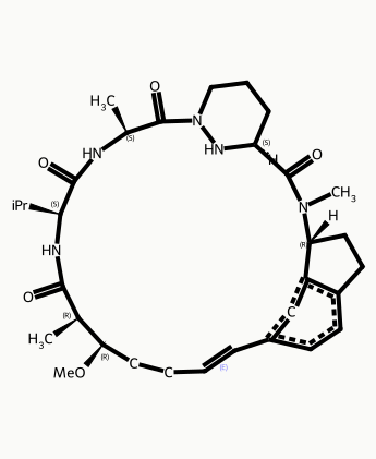 CO[C@@H]1CC/C=C/c2ccc3c(c2)[C@@H](CC3)N(C)C(=O)[C@@H]2CCCN(N2)C(=O)[C@H](C)NC(=O)[C@H](C(C)C)NC(=O)[C@@H]1C